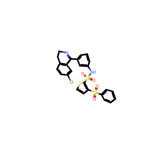 O=S(=O)(Nc1cccc(C2=NCCc3ccc(Cl)cc32)c1)c1sccc1S(=O)(=O)c1ccccc1